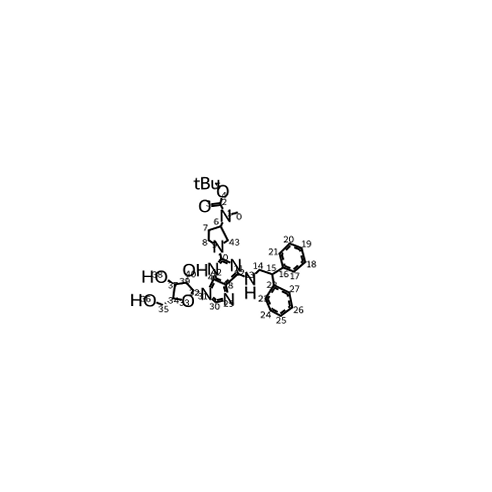 CN(C(=O)OC(C)(C)C)C1CCN(c2nc(NCC(c3ccccc3)c3ccccc3)c3ncn([C@@H]4O[C@H](CO)[C@@H](O)[C@@H]4O)c3n2)C1